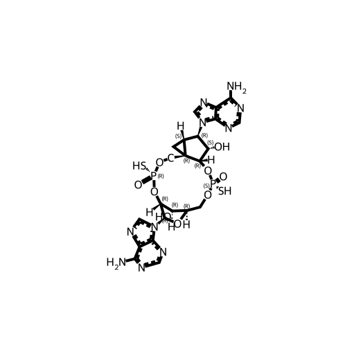 Nc1ncnc2c1ncn2[C@H]1[C@H](O)[C@@H]2O[P@@](=O)(S)OC[C@H]3O[C@@H](n4cnc5c(N)ncnc54)[C@H](O[P@](=O)(S)OC[C@]24C[C@H]14)[C@@H]3O